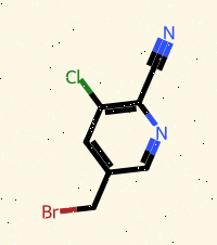 N#Cc1ncc(CBr)cc1Cl